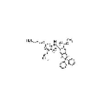 C=CCOC(=O)[C@H](CC(=O)OCCCC)NS(=O)(=O)c1cc2c(cc1C(=O)OC)OC(c1ccccc1)(c1ccccc1)O2